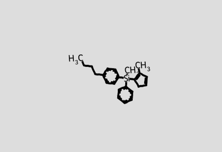 CCCCc1ccc([Si](C)(C2=C(C)C=CC2)c2ccccc2)cc1